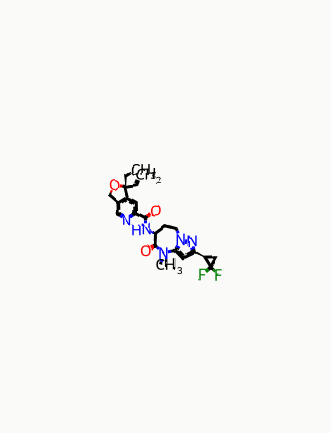 C=C[C@@]1(CC)OCc2cnc(C(=O)N[C@H]3CCn4nc([C@H]5CC5(F)F)cc4N(C)C3=O)cc21